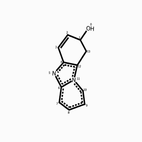 OC1C=Cc2nc3ccccn3c2C1